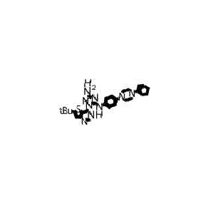 CC(C)(C)c1cc2ncnc(-n3nc(N)nc3Nc3ccc(N4CCN(C5CC6CCC5C6)CC4)cc3)c2s1